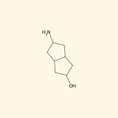 NC1CC2CC(O)CC2C1